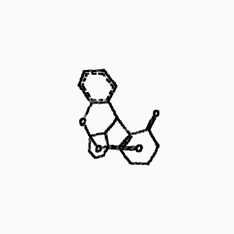 O=C1CCCC2=C1C1c3ccccc3OC3(CCCC(=O)C13)O2